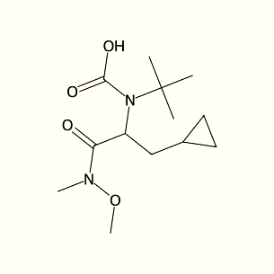 CON(C)C(=O)C(CC1CC1)N(C(=O)O)C(C)(C)C